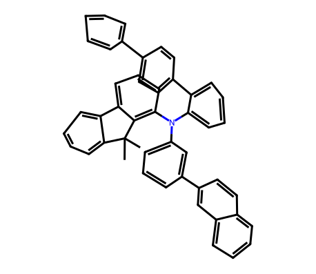 CC1(C)c2ccccc2-c2cccc(N(c3cccc(-c4ccc5ccccc5c4)c3)c3ccccc3-c3ccc(-c4ccccc4)cc3)c21